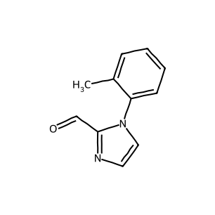 Cc1ccccc1-n1ccnc1C=O